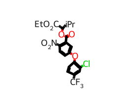 CCOC(=O)C(OC(=O)c1cc(Oc2ccc(C(F)(F)F)cc2Cl)ccc1[N+](=O)[O-])C(C)C